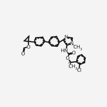 C[C@@H](OC(=O)Nc1c(-c2ccc(-c3ccc(C4(OC=O)CC4)cc3)cc2)ncn1C)c1ccccc1Cl